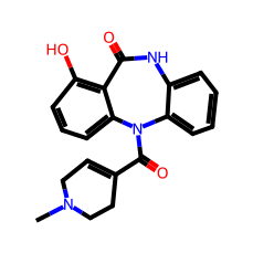 CN1CC=C(C(=O)N2c3ccccc3NC(=O)c3c(O)cccc32)CC1